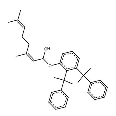 CC(C)=CCCC(C)=CC(O)Oc1cccc(C(C)(C)c2ccccc2)c1C(C)(C)c1ccccc1